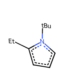 CCc1cccn1C(C)(C)C